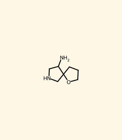 NC1CNCC12CCCO2